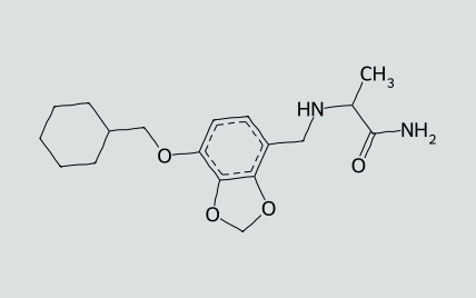 CC(NCc1ccc(OCC2CCCCC2)c2c1OCO2)C(N)=O